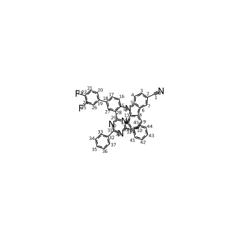 N#Cc1ccc2c(c1)c1ccccc1n2-c1ccc(-c2ccc(F)c(F)c2)cc1-c1nc(-c2ccccc2)nc(-c2ccccc2)n1